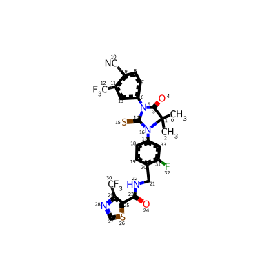 CC1(C)C(=O)N(c2ccc(C#N)c(C(F)(F)F)c2)C(=S)N1c1ccc(CNC(=O)c2scnc2C(F)(F)F)c(F)c1